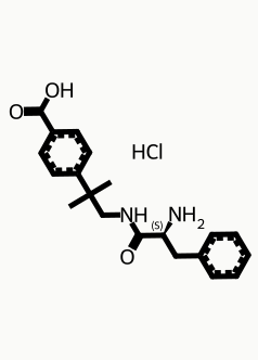 CC(C)(CNC(=O)[C@@H](N)Cc1ccccc1)c1ccc(C(=O)O)cc1.Cl